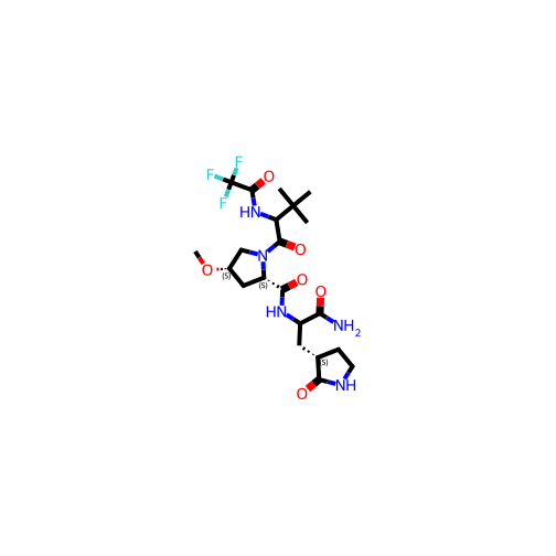 CO[C@H]1C[C@@H](C(=O)NC(C[C@@H]2CCNC2=O)C(N)=O)N(C(=O)C(NC(=O)C(F)(F)F)C(C)(C)C)C1